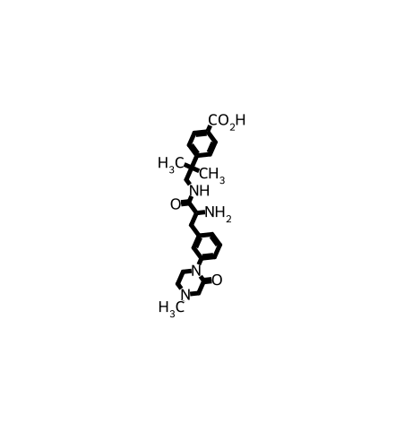 CN1CCN(c2cccc(CC(N)C(=O)NCC(C)(C)c3ccc(C(=O)O)cc3)c2)C(=O)C1